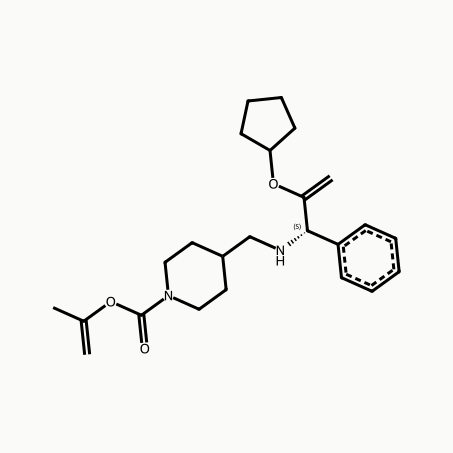 C=C(C)OC(=O)N1CCC(CN[C@H](C(=C)OC2CCCC2)c2ccccc2)CC1